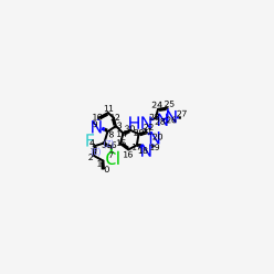 C=C/C=C(F)\C(=C/Cl)c1ncccc1-c1ccc2ncnc(Nc3ccn(C)n3)c2c1